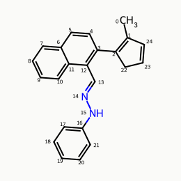 CC1=C(c2ccc3ccccc3c2C=NNc2ccccc2)CC=C1